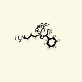 CCCO[Si](CCCN)(OCCC)OC(CC)c1ccccc1